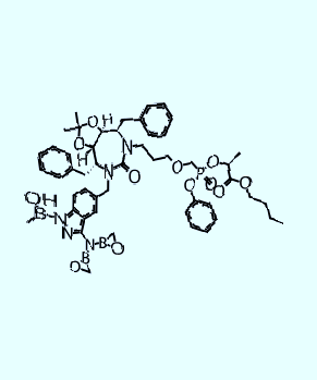 CCCCOC(=O)[C@H](C)OP(=O)(COCCCN1C(=O)N(Cc2ccc3c(c2)c(N(B2CO2)B2CO2)nn3B(C)O)[C@H](Cc2ccccc2)[C@@H]2OC(C)(C)O[C@H]2[C@H]1Cc1ccccc1)Oc1ccccc1